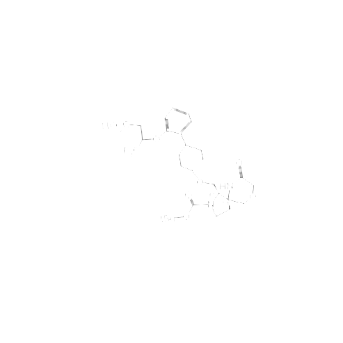 CC(C)(C)OC(=O)N1CC[C@@]2(COCC(=O)N2)[C@@H]1COC1CCC(c2ccccc2OC(CC(=O)O)C(F)(F)F)CC1